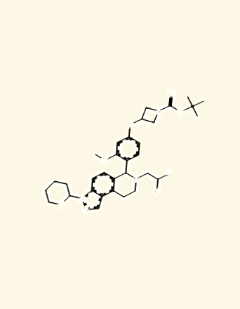 COc1cc(OC2CN(C(=O)OC(C)(C)C)C2)ccc1C1c2ccc3c(cnn3C3CCCCO3)c2CCN1CC(F)F